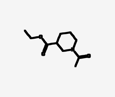 CCOC(=O)C1CCCN(C(C)=O)C1